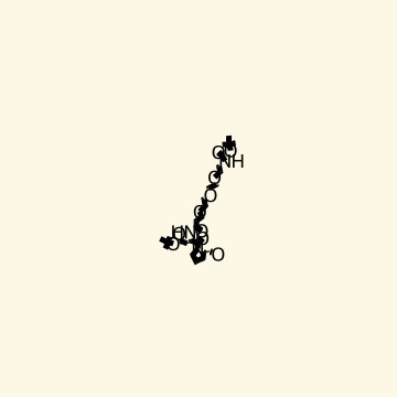 CC(C)(C)OC(=O)C[C@H](NC(=O)CCOCCOCCOCCNC(=O)OC(C)(C)C)C(=O)N1CCC[C@H]1C=O